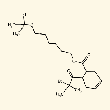 CCC(C)(C)OCCCCCCOC(=O)C1CC=CCC1C(=O)C(C)(C)CC